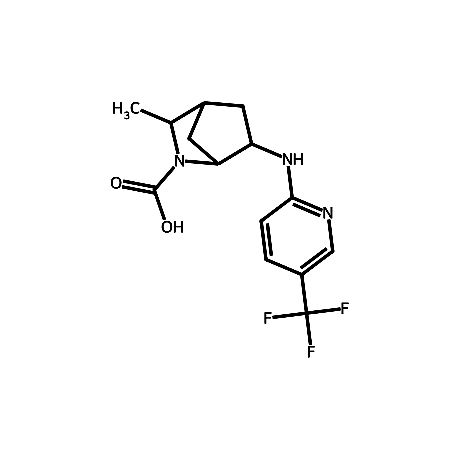 CC1C2CC(Nc3ccc(C(F)(F)F)cn3)C(C2)N1C(=O)O